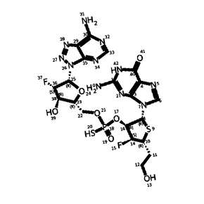 Nc1nc2c(ncn2[C@@H]2S[C@H](CCO)[C@@H](F)[C@H]2OP(=O)(S)OC[C@H]2O[C@@H](n3nnc4c(N)ncnc43)[C@@H](F)[C@@H]2O)c(=O)[nH]1